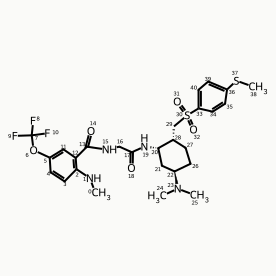 CNc1ccc(OC(F)(F)F)cc1C(=O)NCC(=O)N[C@H]1C[C@H](N(C)C)CC[C@H]1CS(=O)(=O)c1ccc(SC)cc1